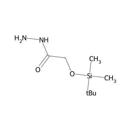 CC(C)(C)[Si](C)(C)OCC(=O)NN